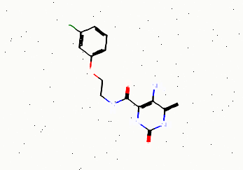 C=C1NC(=O)NC(C(=O)N[C@H](C)COc2cccc(Cl)c2)=C1N